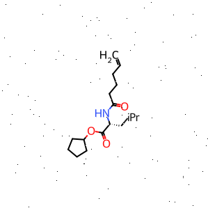 C=CCCCC(=O)N[C@H](CC(C)C)C(=O)OC1CCCC1